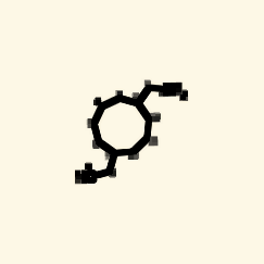 BCC1CCCCC(CO)CCC1